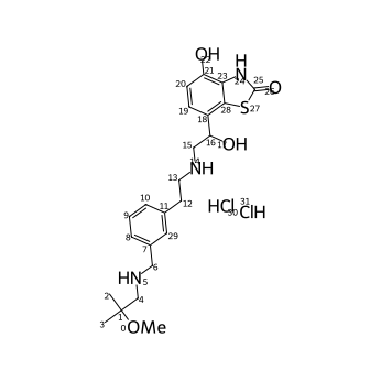 COC(C)(C)CNCc1cccc(CCNCC(O)c2ccc(O)c3[nH]c(=O)sc23)c1.Cl.Cl